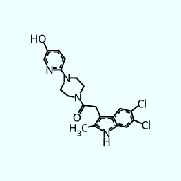 Cc1[nH]c2cc(Cl)c(Cl)cc2c1CC(=O)N1CCN(c2ccc(O)cn2)CC1